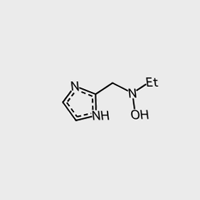 CCN(O)Cc1ncc[nH]1